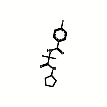 CC(C)(NC(=O)c1ccc(F)cc1)C(=O)NC1CCCC1